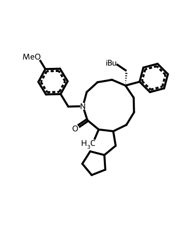 CCC(C)C[C@]1(c2ccccc2)CCCC(CC2CCCC2)C(C)C(=O)N(Cc2ccc(OC)cc2)CCC1